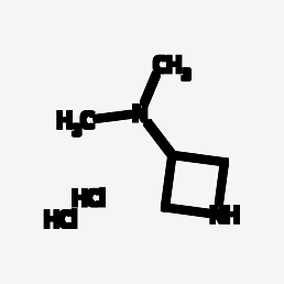 CN(C)C1CNC1.Cl.Cl